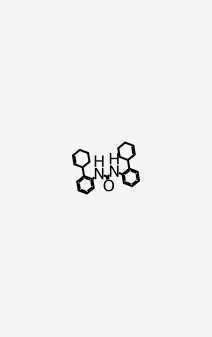 O=C(Nc1ccccc1C1C=CCCC1)Nc1ccccc1C1C=CCCC1